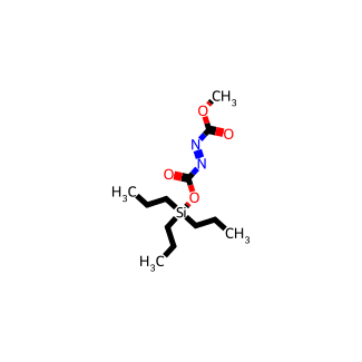 CCC[Si](CCC)(CCC)OC(=O)N=NC(=O)OC